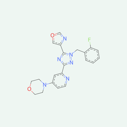 Fc1ccccc1Cn1nc(-c2cc(N3CCOCC3)ccn2)nc1-c1cocn1